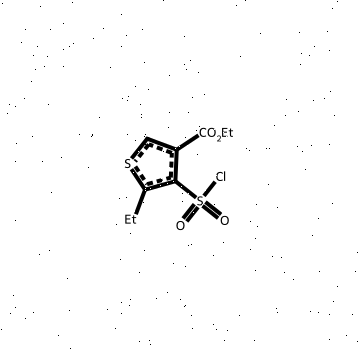 CCOC(=O)c1csc(CC)c1S(=O)(=O)Cl